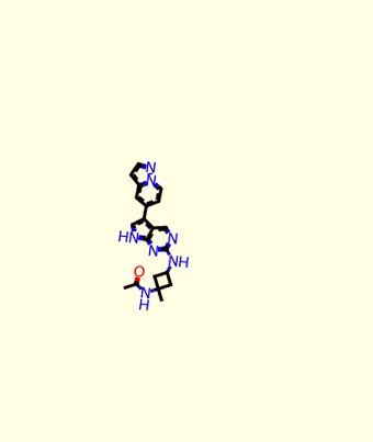 CC(=O)NC1(C)CC(Nc2ncc3c(-c4ccn5nccc5c4)c[nH]c3n2)C1